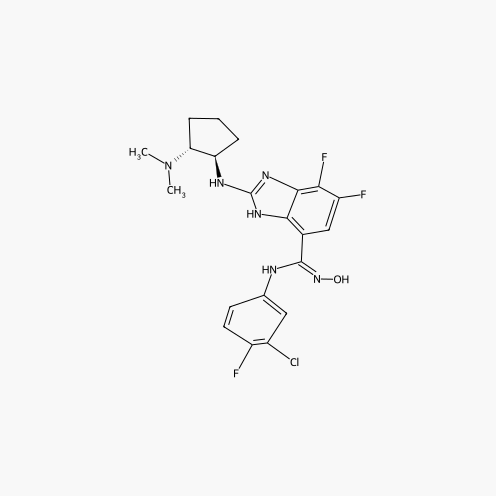 CN(C)[C@@H]1CCC[C@H]1Nc1nc2c(F)c(F)cc(/C(=N\O)Nc3ccc(F)c(Cl)c3)c2[nH]1